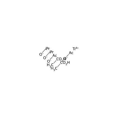 CC(=O)O.CC(=O)O.CC(=O)[O-].CC(=O)[O-].CC(C)[O-].CC(C)[O-].[Ti+4]